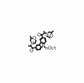 CCCCCCCCn1c2ccc(C(=O)C(C)N3CCOC(C)C3)cc2c2cc(C(=O)C(C)N3CCOC(C)C3)ccc21